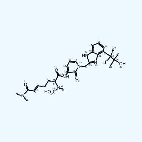 CN(C)C(=O)/C=C/CC[C@@H](C(=O)Nc1cccn(Cc2nc3c(C(F)(F)C(C)(C)O)cccc3[nH]2)c1=O)N(C)C(=O)O